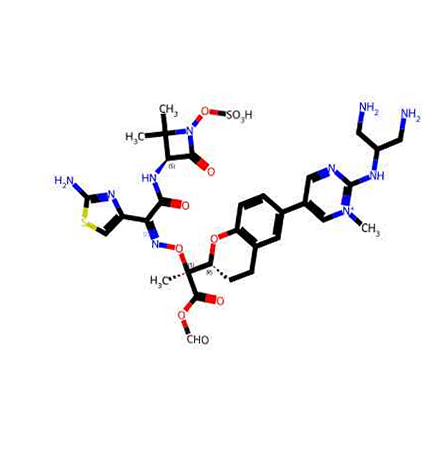 C[n+]1cc(-c2ccc3c(c2)CC[C@H]([C@](C)(O/N=C(\C(=O)N[C@@H]2C(=O)N(OS(=O)(=O)O)C2(C)C)c2csc(N)n2)C(=O)OC=O)O3)cnc1NC(CN)CN